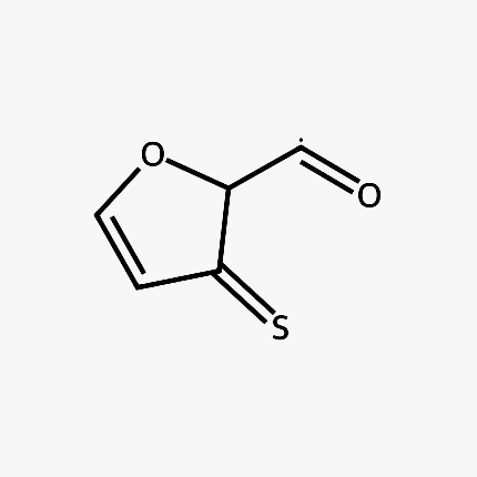 O=[C]C1OC=CC1=S